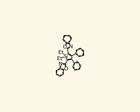 CC[Si]1(CC)C(c2nc3ccccc3o2)=C(c2ccccc2)C(c2ccccc2)=C1c1nc2ccccc2o1